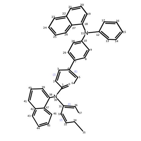 C=C(/C=C\C(=C/C)c1ccc(N(c2ccccc2)c2cccc3ccccc23)cc1)N(C(/C=C\CC)=C/C)c1cccc2ccccc12